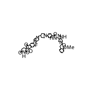 COc1ccccc1CC(=O)N1Cc2[nH]nc(NC(=O)c3ccc(N4CCC(CN5CC6CC5CN6c5cc6c(cc5F)C(=O)N(C5CCC(=O)NC5=O)C6=O)CC4)cc3)c2C1